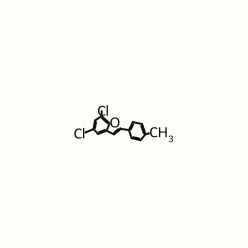 Cc1ccc(-c2cc3cc(Cl)cc(Cl)c3o2)cc1